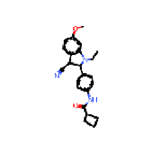 CCN1c2cc(OC)ccc2C(C#N)C1c1ccc(NC(=O)C2CCC2)cc1